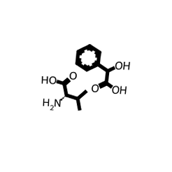 CC(C)[C@H](N)C(=O)O.O=C(O)C(O)c1ccccc1